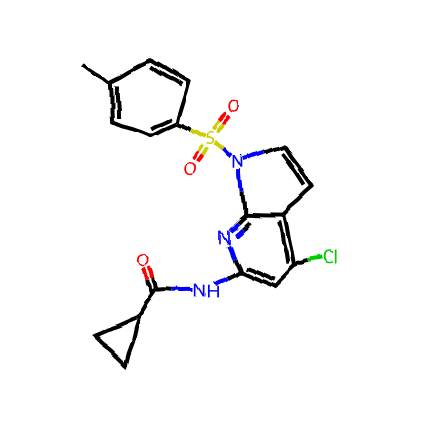 Cc1ccc(S(=O)(=O)n2ccc3c(Cl)cc(NC(=O)C4CC4)nc32)cc1